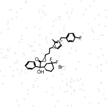 Cc1n(CCCOC(=O)[C@](O)(c2ccccc2)[C@@H]2CCCC(F)(F)C2)cc[n+]1Cc1ccc(F)cc1.[Br-]